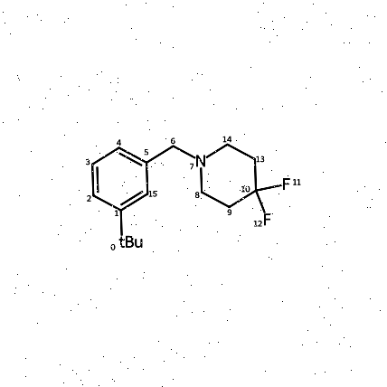 CC(C)(C)c1cccc(CN2CCC(F)(F)CC2)c1